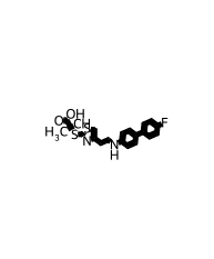 CC(C)(Sc1nc(CCNc2ccc(-c3ccc(F)cc3)cc2)cs1)C(=O)O